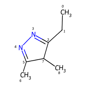 CCC1=NN=C(C)C1C